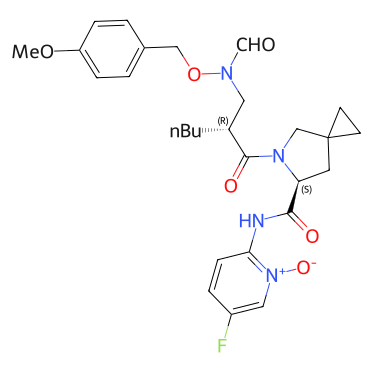 CCCC[C@H](CN(C=O)OCc1ccc(OC)cc1)C(=O)N1CC2(CC2)C[C@H]1C(=O)Nc1ccc(F)c[n+]1[O-]